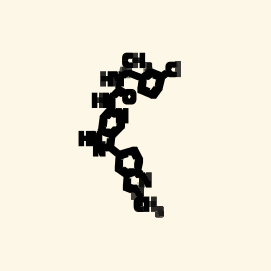 C[C@@H](NC(=O)Nc1cc2[nH]nc(-c3ccc4nn(C)cc4c3)c2cn1)c1cccc(Cl)c1